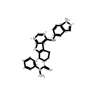 CN(C(=O)[C@H]1CCc2c(sc3ncnc(Nc4ccc5[nH]ncc5c4)c23)C1)c1ccccc1